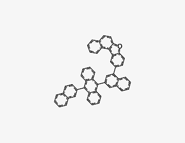 c1ccc2cc(-c3c4ccccc4c(-c4cc(-c5ccc6oc7ccc8ccccc8c7c6c5)c5ccccc5c4)c4ccccc34)ccc2c1